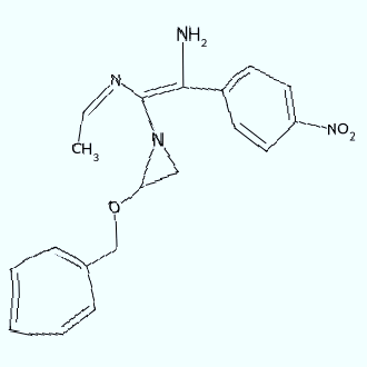 C/C=N\C(=C(/N)c1ccc([N+](=O)[O-])cc1)N1CC1OCc1ccccc1